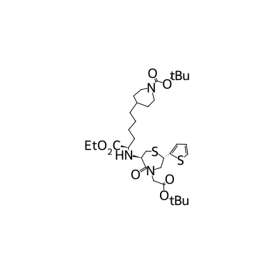 CCOC(=O)[C@@H](CCCCC1CCN(C(=O)OC(C)(C)C)CC1)N[C@H]1CS[C@H](c2cccs2)CN(CC(=O)OC(C)(C)C)C1=O